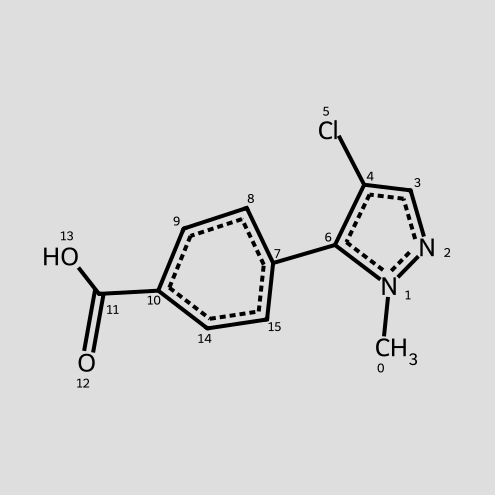 Cn1ncc(Cl)c1-c1ccc(C(=O)O)cc1